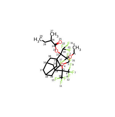 CCOCOC(C(F)(F)F)(C(F)(F)F)C12CC3CC(C1)CC(C(OC(=O)C(C)CC)(C(F)(F)F)C(F)(F)F)(C3)C2